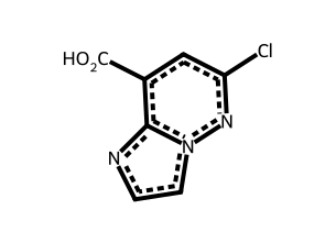 O=C(O)c1cc(Cl)nn2ccnc12